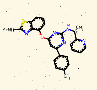 CC(=O)Nc1nc2c(Oc3cc(-c4ccc(C(F)(F)F)cc4)nc(N[C@H](C)c4ccccn4)n3)cccc2s1